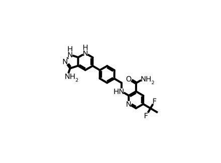 CC(F)(F)c1cnc(NCc2ccc(C3=CNC4NN=C(N)C4=C3)cc2)c(C(N)=O)c1